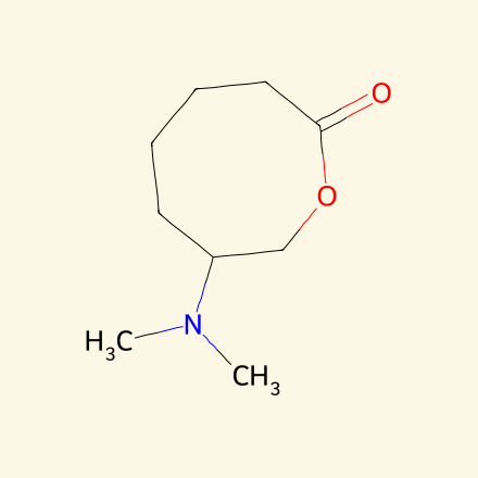 CN(C)C1CCCCC(=O)OC1